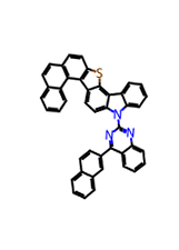 c1ccc2cc(-c3nc(-n4c5ccccc5c5c6sc7ccc8ccc9ccccc9c8c7c6ccc54)nc4ccccc34)ccc2c1